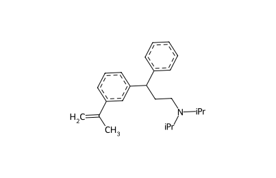 C=C(C)c1cccc(C(CCN(C(C)C)C(C)C)c2ccccc2)c1